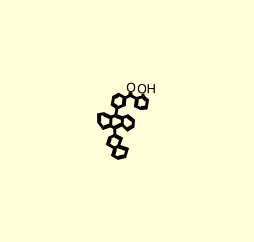 O=C(c1cccc(-c2c3ccccc3c(-c3ccc4ccccc4c3)c3ccccc23)c1)c1ccccc1O